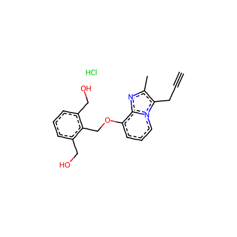 C#CCc1c(C)nc2c(OCc3c(CO)cccc3CO)cccn12.Cl